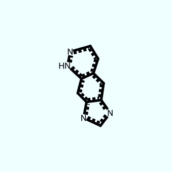 c1cc2cc3ncnc3cc2[nH]n1